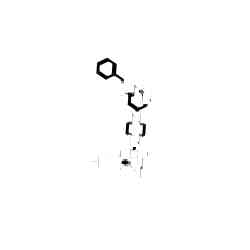 CC(C)(C)OC(=O)N1CCN(c2cnnc(SCc3ccccc3)c2)CC1